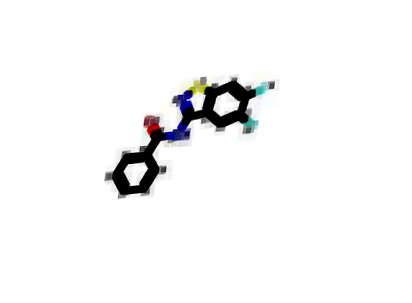 O=C(Nc1nsc2cc(F)c(F)cc12)c1ccccc1